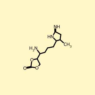 CC1CC(=N)NC1CCCC(N)C1COC(=O)O1